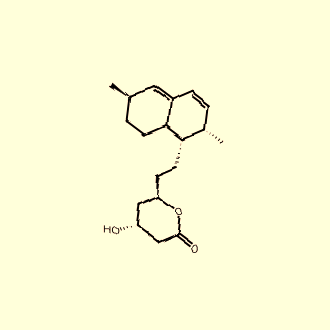 C[C@H]1C=C2C=C[C@H](C)[C@H](CC[C@@H]3C[C@@H](O)CC(=O)O3)C2CC1